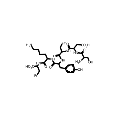 CC(C)CC(NC(=O)C(CCCCN)NC(=O)C(Cc1ccc(O)cc1)NC(=O)C(CC(C)C)NC(=O)C(CC(=O)O)NC(=O)C(N)CO)C(=O)O